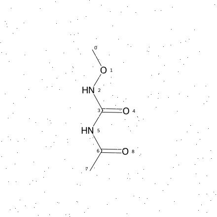 CONC(=O)NC(C)=O